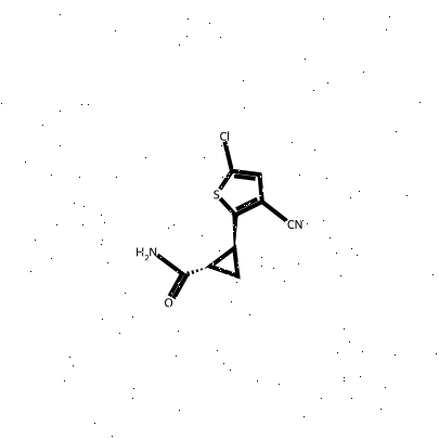 N#Cc1cc(Cl)sc1[C@H]1C[C@@H]1C(N)=O